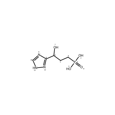 O=P(O)(O)CCC(O)c1nc[nH]n1